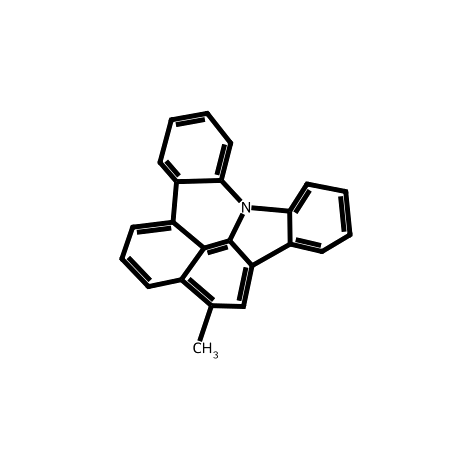 Cc1cc2c3ccccc3n3c4ccccc4c4cccc1c4c23